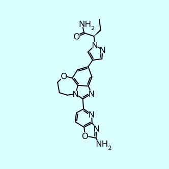 CC[C@H](C(N)=O)n1cc(-c2cc3c4c(c2)nc(-c2ccc5oc(N)nc5n2)n4CCCO3)cn1